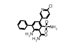 NC(=O)c1c(N)c(-c2ccccc2)cc(-c2ccc(Cl)nc2)c1S(N)(=O)=O